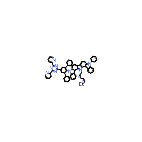 CC/C=C\C=C/Cn1c2c(ccc3c2c2ccccc2n3-c2ccccc2)c2ccc3c(c4ccccc4n3-c3c(-c4ccccc4)cc(-c4nc(-c5ccccn5)nc(-c5ccccn5)n4)cc3-c3ccccc3)c21